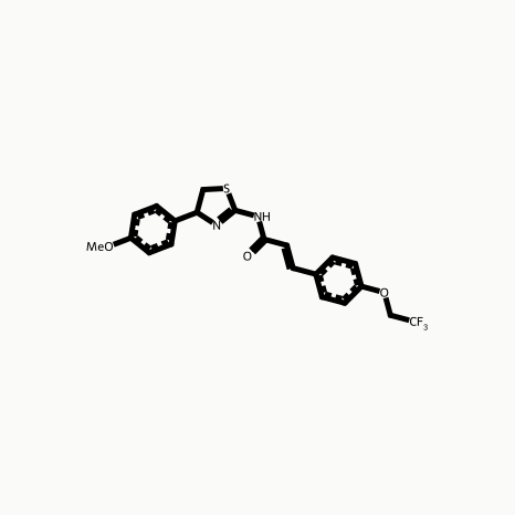 COc1ccc(C2CSC(NC(=O)/C=C/c3ccc(OCC(F)(F)F)cc3)=N2)cc1